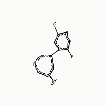 Fc1ccc(F)c(-c2cncc(Br)c2)c1